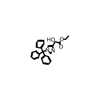 CCOC(=O)C(O)c1cn(C(c2ccccc2)(c2ccccc2)c2ccccc2)cn1